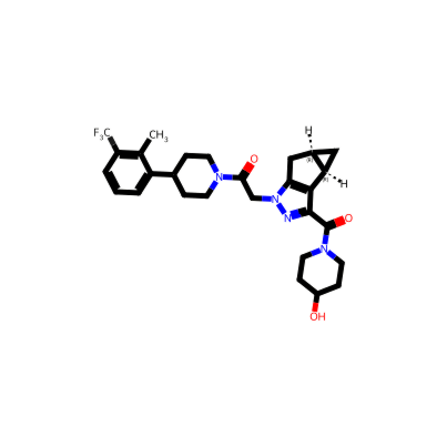 Cc1c(C2CCN(C(=O)Cn3nc(C(=O)N4CCC(O)CC4)c4c3C[C@H]3C[C@@H]43)CC2)cccc1C(F)(F)F